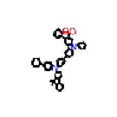 CC1(C)c2ccccc2-c2ccc(N(c3ccc(-c4ccccc4)cc3)c3ccc(-c4ccc5c(c4)c4cc6c(cc4n5-c4ccccc4)c(=O)oc4ccccc46)cc3)cc21